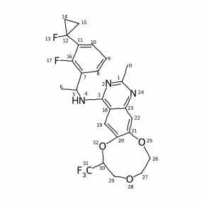 Cc1nc(NC(C)c2cccc(C3(F)CC3)c2F)c2cc3c(cc2n1)OCCOCC(C(F)(F)F)O3